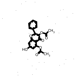 CC(=O)Oc1c(-c2ccccc2)oc2cc(O)cc(OC(C)=O)c2c1=O